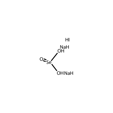 I.O=[Se](O)O.[NaH].[NaH]